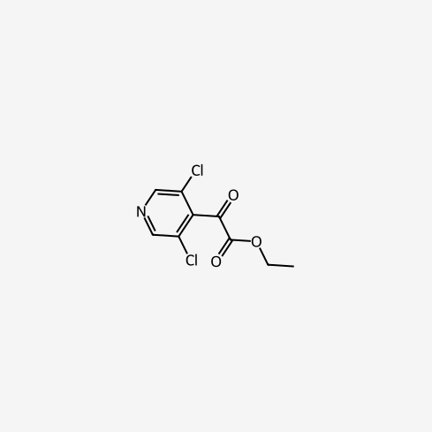 CCOC(=O)C(=O)c1c(Cl)cncc1Cl